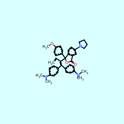 C=CC(=C(c1ccc(N(C)C)cc1)c1ccc(N(C)C)cc1)C1(c2ccc(OC)cc2)OC(=O)c2cc(N3CCCC3)ccc21